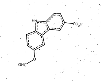 O=COc1ccc2[nH]c3ccc(C(=O)O)cc3c2c1